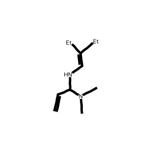 C=CC(NC=C(CC)CC)N(C)C